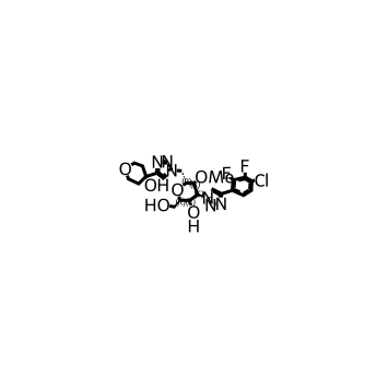 CO[C@@H]1[C@@H](n2cc(-c3ccc(Cl)c(F)c3F)nn2)[C@@H](O)[C@@H](CO)O[C@@H]1Cn1cc(C2(O)CCOCC2)nn1